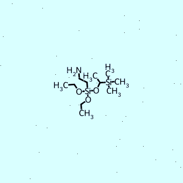 CCO[Si](CCN)(OCC)OC(C)[Si](C)(C)C